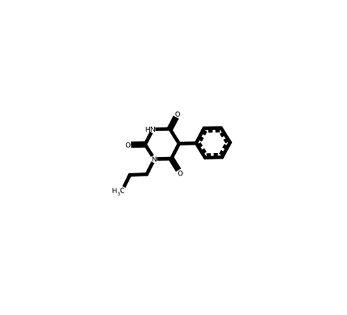 CCCN1C(=O)NC(=O)C(c2ccccc2)C1=O